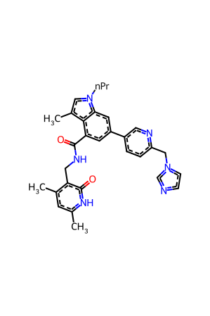 CCCn1cc(C)c2c(C(=O)NCc3c(C)cc(C)[nH]c3=O)cc(-c3ccc(Cn4ccnc4)nc3)cc21